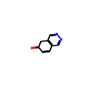 O=C1C=Cc2cnncc2C1